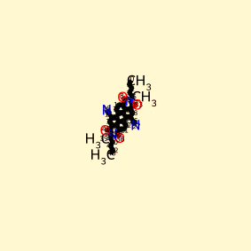 CCCCC(C)N1C(=O)c2ccc3c4c(C#N)cc5c6c(ccc(c7c(C#N)cc(c2c37)C1=O)c64)C(=O)N(C(C)CCCC)C5=O